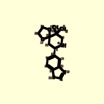 CC1(C)CN[C@H](c2ccc3scnc3c2)CC12OCCO2